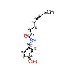 C#CC#CCCCCC(=O)NCc1ccc(O)cc1